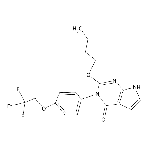 CCCCOc1nc2[nH]ccc2c(=O)n1-c1ccc(OCC(F)(F)F)cc1